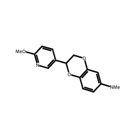 CNc1ccc2c(c1)OCC(c1ccc(OC)nc1)O2